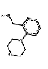 CC(=O)NCc1ccccc1N1CCNCC1